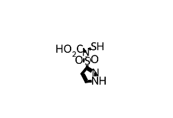 O=C(O)N(S)S(=O)(=O)c1cc[nH]n1